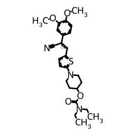 CCN(CC)C(=O)OC1CCN(c2ccc(/C=C(\C#N)c3ccc(OC)c(OC)c3)s2)CC1